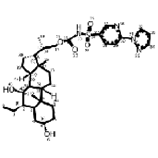 CC[C@@H]1C2C[C@H](O)CCC2(C)[C@H]2CCC3(C)[C@@H]([C@H](C)COC(=O)NS(=O)(=O)c4ccc(-n5cccn5)nc4)CC[C@H]3C2[C@@H]1O